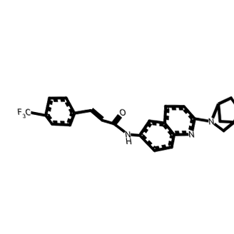 O=C(C=Cc1ccc(C(F)(F)F)cc1)Nc1ccc2nc(N3CC4CCC3C4)ccc2c1